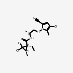 CC[C@]1(C(=O)N[C@H](C)COn2c(C#N)cc(Cl)c2C)[C@@H](C)C1(Cl)Cl